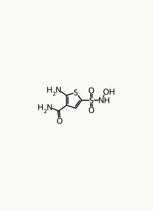 NC(=O)c1cc(S(=O)(=O)NO)sc1N